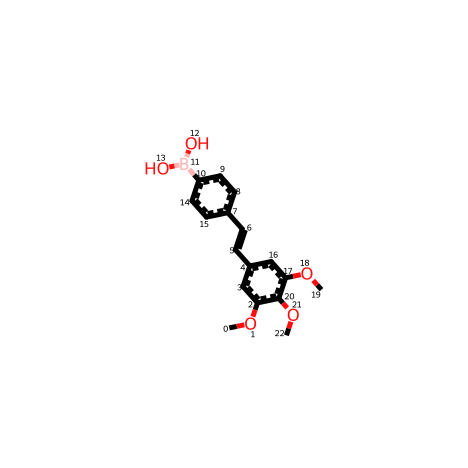 COc1cc(/C=C/c2ccc(B(O)O)cc2)cc(OC)c1OC